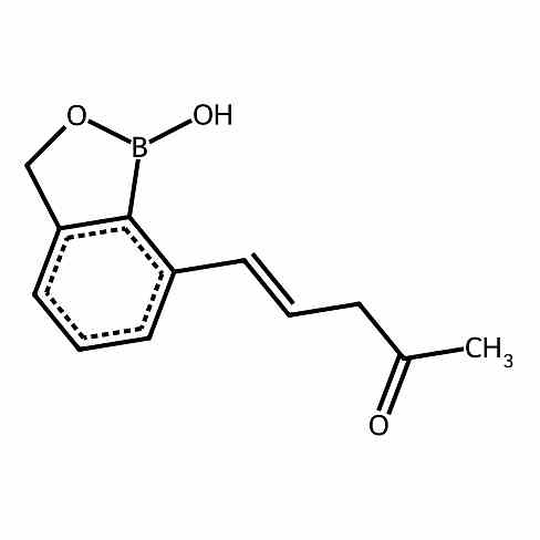 CC(=O)C/C=C/c1cccc2c1B(O)OC2